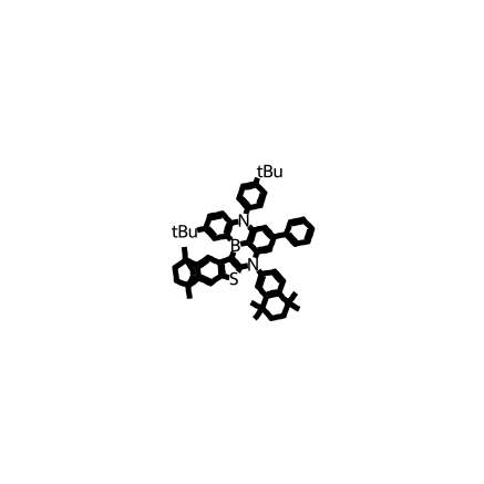 CC(C)(C)c1ccc(N2c3ccc(C(C)(C)C)cc3B3c4c2cc(-c2ccccc2)cc4N(c2ccc4c(c2)C(C)(C)CCC4(C)C)c2sc4cc5c(cc4c23)C2(C)CCC5(C)CC2)cc1